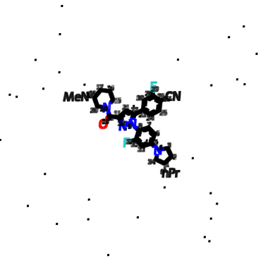 CCC[C@H]1CCN(c2ccc(-n3nc(C(=O)N4CCC[C@@H](NC)C4)cc3-c3ccc(C#N)c(F)c3)c(F)c2)C1